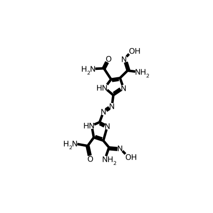 NC(=O)c1[nH]c(N=Nc2nc(C(N)=NO)c(C(N)=O)[nH]2)nc1C(N)=NO